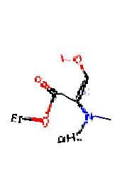 CCOC(=O)/C(=C\O)N(C)C=O